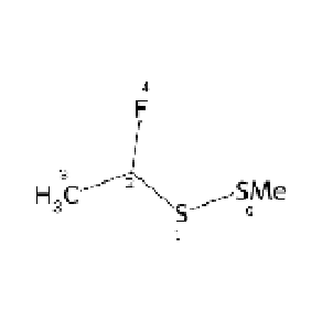 CSSC(C)F